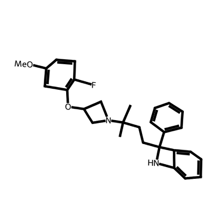 COc1ccc(F)c(OC2CN(C(C)(C)CCC3(c4ccccc4)Nc4ccccc43)C2)c1